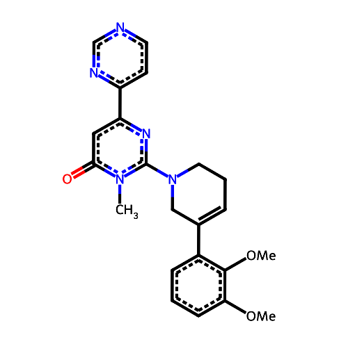 COc1cccc(C2=CCCN(c3nc(-c4ccncn4)cc(=O)n3C)C2)c1OC